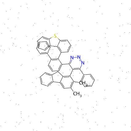 Cc1cc2c(c(-c3c(-c4ccccc4)nnnc3-c3cccc(-c4ccccc4)c3-c3cccc4sc5ccccc5c34)c1C)Cc1ccccc1-2